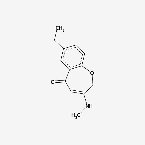 CCc1ccc2c(c1)C(=O)C=C(NC)CO2